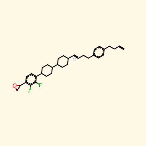 C=CCCc1ccc(CC/C=C/C2CCC(C3CCC(c4ccc(C5CO5)c(F)c4F)CC3)CC2)cc1